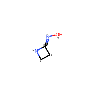 ON=C1CC[N]1